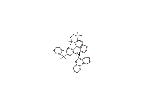 CC1(C)CCC(C)(C)c2c(-c3cc4c(cc3N(c3ccccc3)c3cc5ccccc5c5ccccc35)C(C)(C)c3ccccc3-4)cccc21